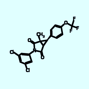 C[C@]12C(=O)N(c3cc(Cl)cc(Cl)c3)C(=O)C1[C@@H]2c1ccc(OC(F)(F)F)cc1